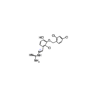 Cl.N=C(N)N/N=C/c1cccc(OCc2ccc(Cl)cc2Cl)c1Cl